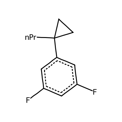 CCCC1(c2cc(F)cc(F)c2)CC1